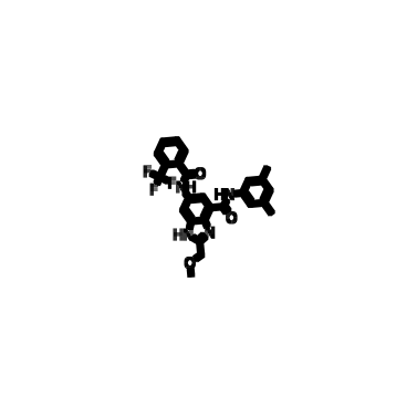 COCc1nc2c(C(=O)Nc3cc(C)cc(C)c3)cc(NC(=O)c3ccccc3C(F)(F)F)cc2[nH]1